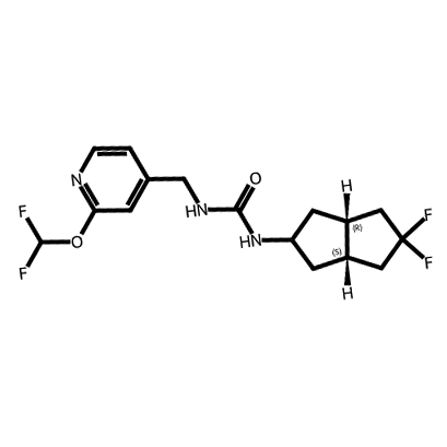 O=C(NCc1ccnc(OC(F)F)c1)NC1C[C@@H]2CC(F)(F)C[C@@H]2C1